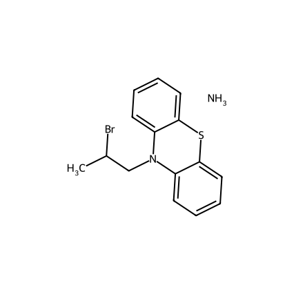 CC(Br)CN1c2ccccc2Sc2ccccc21.N